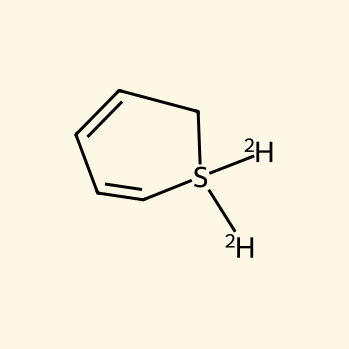 [2H]S1([2H])C=CC=CC1